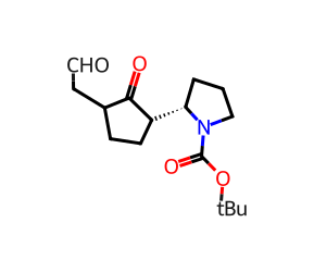 CC(C)(C)OC(=O)N1CCC[C@H]1C1CCC(CC=O)C1=O